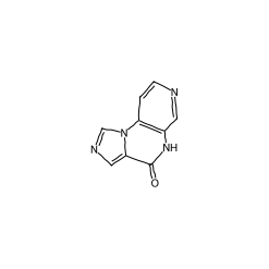 O=c1[nH]c2cnccc2n2cncc12